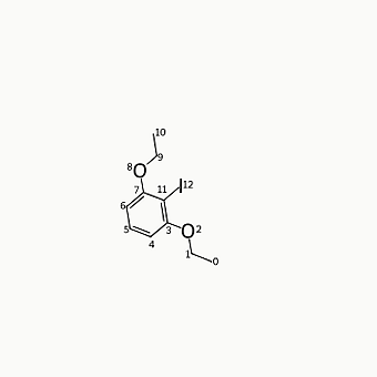 CCOc1cccc(OCC)c1I